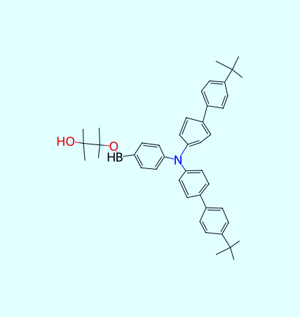 CC(C)(C)c1ccc(-c2ccc(N(c3ccc(BOC(C)(C)C(C)(C)O)cc3)c3ccc(-c4ccc(C(C)(C)C)cc4)cc3)cc2)cc1